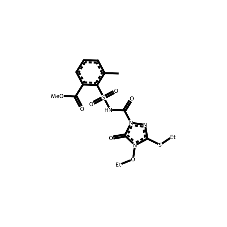 CCOn1c(SCC)nn(C(=O)NS(=O)(=O)c2c(C)cccc2C(=O)OC)c1=O